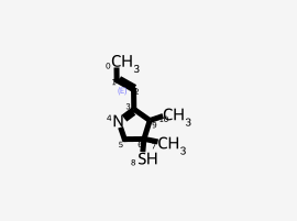 C/C=C/C1=NCC(C)(S)C1C